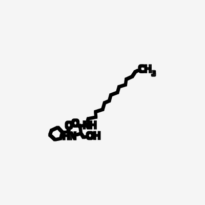 CCCCCCCCCCCCCCNC(=O)C(CO)NC(=O)C1CCCCC1